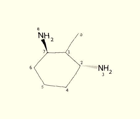 CC1[C@H](N)CCC[C@H]1N